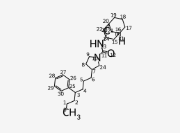 CCCC(CCCC1CCN(C(=O)NC23C[C@@H]4CCCC(C4)(C2)C3)C1)c1ccccc1